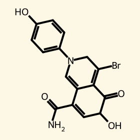 NC(=O)C1=CC(O)C(=O)C2=C(Br)CN(c3ccc(O)cc3)C=C12